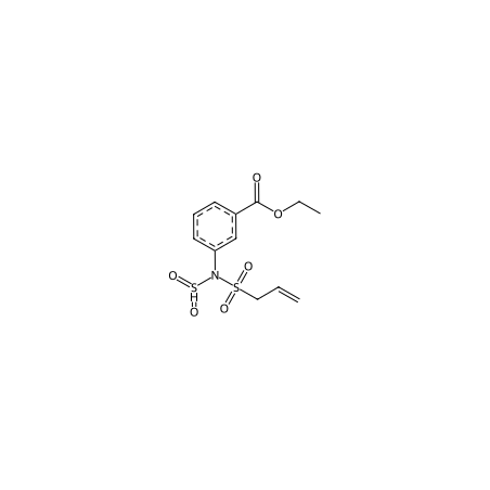 C=CCS(=O)(=O)N(c1cccc(C(=O)OCC)c1)[SH](=O)=O